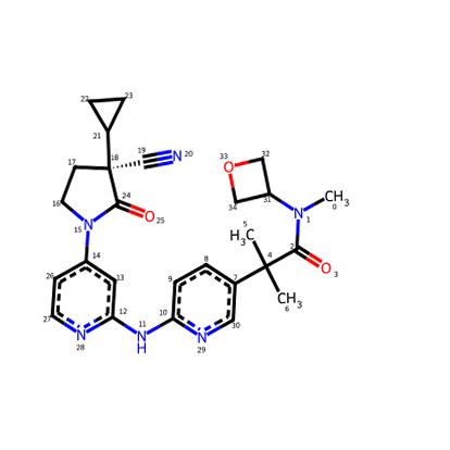 CN(C(=O)C(C)(C)c1ccc(Nc2cc(N3CC[C@@](C#N)(C4CC4)C3=O)ccn2)nc1)C1COC1